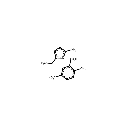 Cc1ccc(C(=O)O)cc1C(=O)O.Nc1ccn(CC(F)(F)F)n1